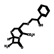 N[C@@H]1C(=O)N2C(C(=O)O)=C(COCC(O)c3ccccc3)CS[C@@H]12